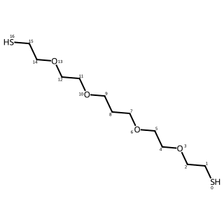 SCCOCCOCCCOCCOCCS